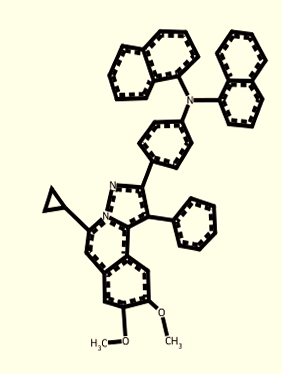 COc1cc2cc(C3CC3)n3nc(-c4ccc(N(c5cccc6ccccc56)c5cccc6ccccc56)cc4)c(-c4ccccc4)c3c2cc1OC